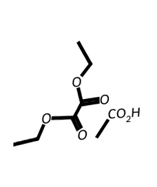 CC(=O)O.CCOC(=O)C(=O)OCC